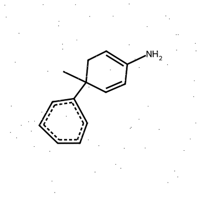 CC1(c2ccccc2)C=CC(N)=CC1